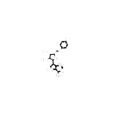 Cc1ccc(SC[C@H]2NC(c3c[nH]c4c(N)ncnc34)C(O)[C@H]2O)cc1